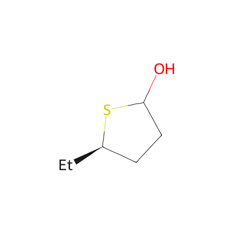 CC[C@@H]1CCC(O)S1